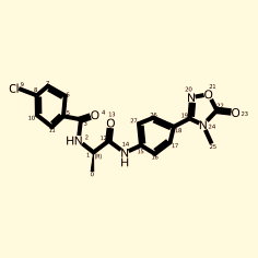 C[C@@H](NC(=O)c1ccc(Cl)cc1)C(=O)Nc1ccc(-c2noc(=O)n2C)cc1